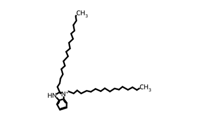 CCCCCCCCCCCCCCCCCCc1[nH]c2ccccc2[n+]1CCCCCCCCCCCCCCCCC